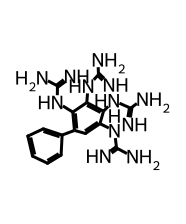 N=C(N)Nc1cc(-c2ccccc2)c(NC(=N)N)c(NC(=N)N)c1NC(=N)N